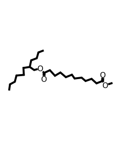 CCCCCCC(CCCC)COC(=O)CCCCCCCCCCC(=O)OC